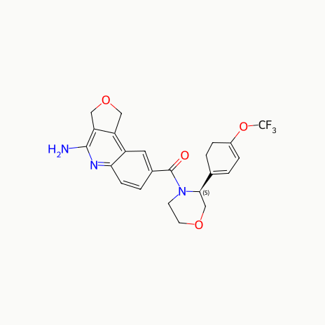 Nc1nc2ccc(C(=O)N3CCOC[C@@H]3C3=CC=C(OC(F)(F)F)CC3)cc2c2c1COC2